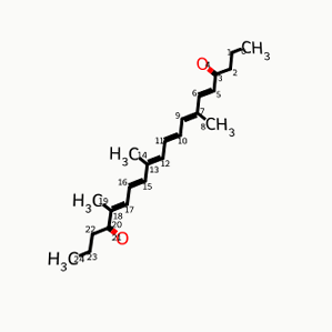 CCCC(=O)/C=C/C(C)=C/C=C/C=C(C)/C=C/C=C(\C)C(=O)CCC